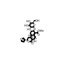 COC(=O)C1=C2CC[C@@]3(O)C(=O)O[C@H](c4ccoc4)C[C@@]3(C)[C@@H]2CC[C@H]1O[C@@H]1O[C@H](CO)[C@@H](O)[C@H](O)[C@H]1O